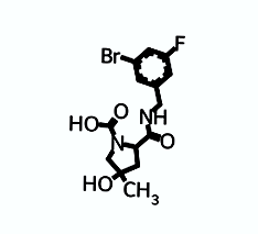 CC1(O)CC(C(=O)NCc2cc(F)cc(Br)c2)N(C(=O)O)C1